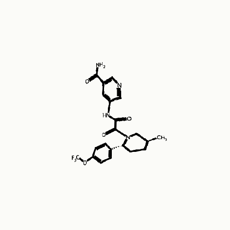 C[C@H]1CC[C@H](c2ccc(OC(F)(F)F)cc2)N(C(=O)C(=O)Nc2cncc(C(N)=O)c2)C1